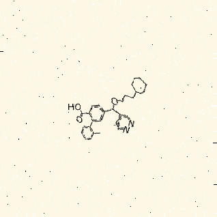 Cc1ccccc1-c1cc(C(OCCCC2CCCCC2)c2ccnnc2)ccc1C(=O)O